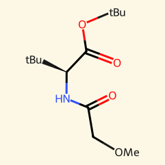 COCC(=O)N[C@H](C(=O)OC(C)(C)C)C(C)(C)C